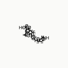 COc1c(N2CCN(Cc3cc4c(o3)C3=NNCC3C4)CC2)c(F)cc2c(=O)c(C(=O)O)cn(C3CC3)c12